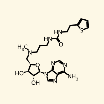 CN(CCCNC(=O)NCCc1cccs1)C[C@H]1O[C@@H](n2cnc3c(N)ncnc32)[C@H](O)[C@H]1O